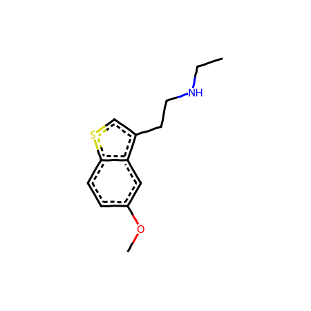 CCNCCc1csc2ccc(OC)cc12